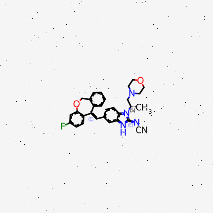 C[C@@H](CN1CCOCC1)n1/c(=N/C#N)[nH]c2cc(/C=C3\c4ccccc4COc4cc(F)ccc43)ccc21